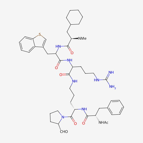 CN[C@H](CC1CCCCC1)C(=O)NC(Cc1csc2ccccc12)C(=O)NC(CCCNC(=N)N)C(=O)NCCC[C@H](NC(=O)[C@H](Cc1ccccc1)NC(C)=O)C(=O)N1CCCC1C=O